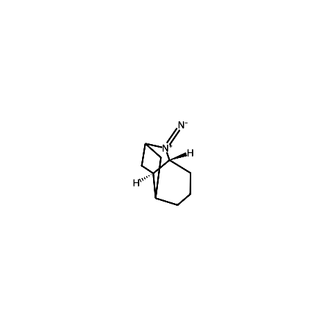 [N-]=[N+]1C2CC3CCC[C@@H]1[C@@H]3C2